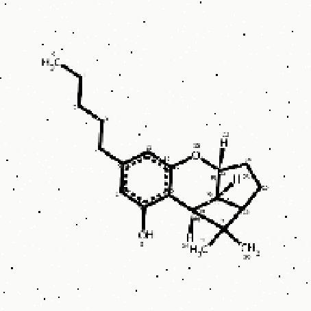 CCCCCc1cc(O)c2c(c1)O[C@@H]1CCC3[C@@H]1[C@@H]2C3(C)C